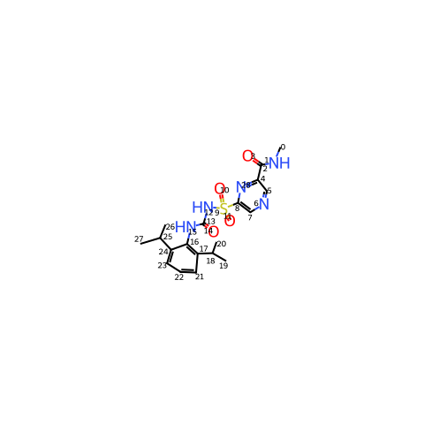 CNC(=O)c1cncc(S(=O)(=O)NC(=O)Nc2c(C(C)C)cccc2C(C)C)n1